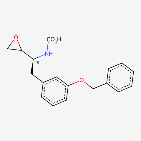 O=C(O)N[C@@H](Cc1cccc(OCc2ccccc2)c1)C1CO1